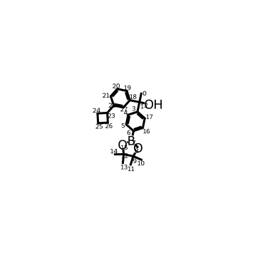 CC(O)(c1ccc(B2OC(C)(C)C(C)(C)O2)cc1)c1cccc(C2CCC2)c1